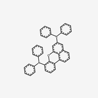 c1ccc(N(c2ccccc2)c2cc3c4c(cccc4c2)-c2cccc(N(c4ccccc4)c4ccccc4)c2O3)cc1